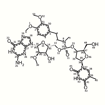 COc1ccc(CCN(C)P(=O)(OC[C@H]2O[C@@H](n3cnc4c(=O)[nH]c(N)nc43)[C@H](OC)C2O)OC2C[C@H](n3cc(C)c(=O)[nH]c3=O)O[C@@H]2CO)cc1OC